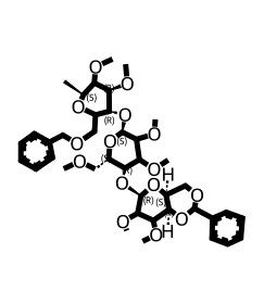 COC[C@@H]1O[C@@H](O[C@@H]2C(COCc3ccccc3)O[C@@H](C)C(OC)[C@H]2OC)C(OC)C(OC)[C@@H]1O[C@H]1O[C@H]2COC(c3ccccc3)O[C@H]2C(OC)C1OC